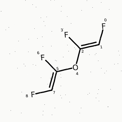 F/C=C(\F)O/C(F)=C/F